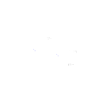 CCCCCCCC(CCCCCCC)N1CC[C@H](N)[C@H](OC)C1